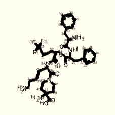 NCCCCC(NC(=O)C(CCC(F)(F)F)NC(=O)C(Cc1ccccc1)NC(=O)C(N)Cc1ccccc1)C(=O)N1CCC(N)(C(=O)O)CC1